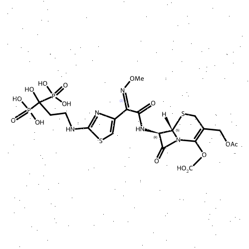 CO/N=C(\C(=O)N[C@@H]1C(=O)N2C(OC(=O)O)=C(COC(C)=O)CS[C@@H]12)c1csc(NCCC(O)(P(=O)(O)O)P(=O)(O)O)n1